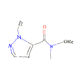 CCn1nccc1C(=O)N(C)OC